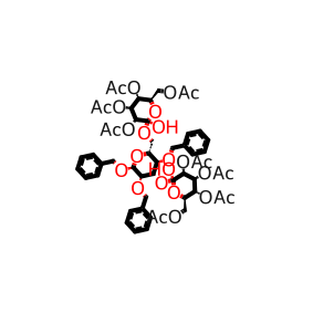 CC(=O)OC[C@H]1O[C@](O)(OC[C@H]2O[C@H](OCc3ccccc3)[C@@H](OCc3ccccc3)[C@@H](O[C@@]3(O)O[C@H](COC(C)=O)[C@@H](OC(C)=O)[C@H](OC(C)=O)[C@@H]3OC(C)=O)[C@@H]2OCc2ccccc2)[C@@H](OC(C)=O)[C@@H](OC(C)=O)[C@@H]1OC(C)=O